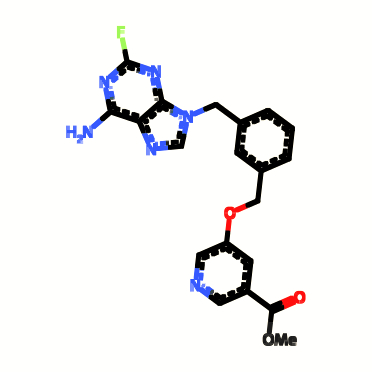 COC(=O)c1cncc(OCc2cccc(Cn3cnc4c(N)nc(F)nc43)c2)c1